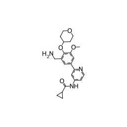 COc1cc(-c2cc(NC(=O)C3CC3)ccn2)cc(CN)c1OC1CCOCC1